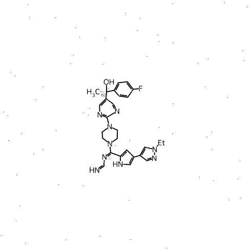 CCn1cc(-c2c[nH]c(/C(=N\C=N)N3CCN(c4ncc([C@@](C)(O)c5ccc(F)cc5)cn4)CC3)c2)cn1